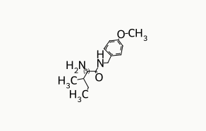 CCC(C)[C@H](N)C(=O)NCc1ccc(OC)cc1